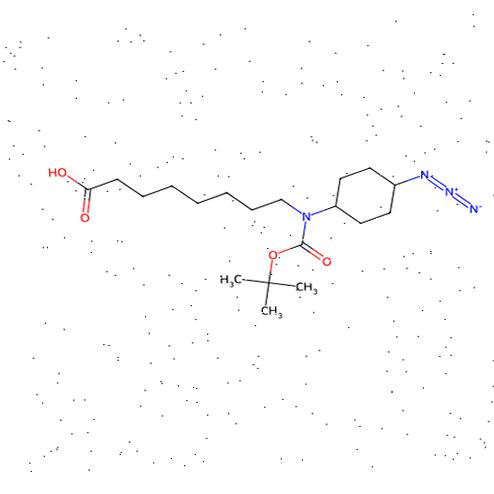 CC(C)(C)OC(=O)N(CCCCCCCC(=O)O)C1CCC(N=[N+]=[N-])CC1